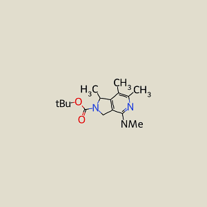 CNc1nc(C)c(C)c2c1CN(C(=O)OC(C)(C)C)C2C